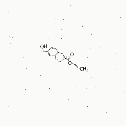 CC=COC(=O)N1CCc2cc(CO)ccc2C1